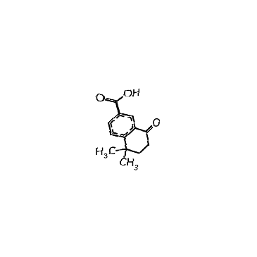 CC1(C)CCC(=O)c2cc(C(=O)O)ccc21